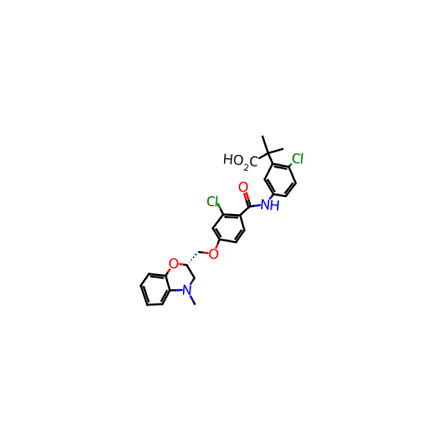 CN1C[C@@H](COc2ccc(C(=O)Nc3ccc(Cl)c(C(C)(C)C(=O)O)c3)c(Cl)c2)Oc2ccccc21